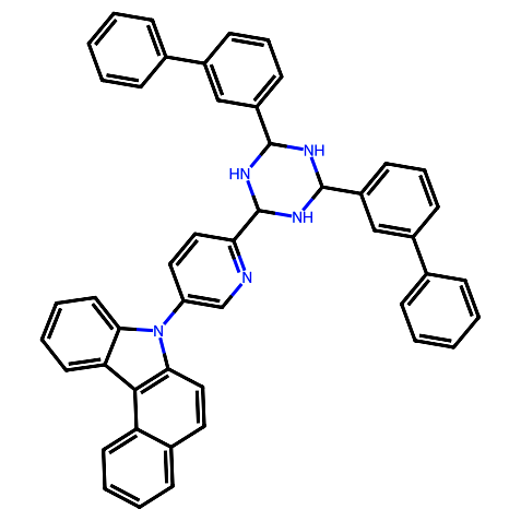 c1ccc(-c2cccc(C3NC(c4cccc(-c5ccccc5)c4)NC(c4ccc(-n5c6ccccc6c6c7ccccc7ccc65)cn4)N3)c2)cc1